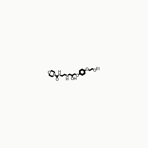 CCOCCOc1ccc(OCC(O)CNCCNC(=O)N2CCOCC2)cc1